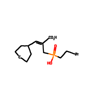 CC(C)CCP(=O)(O)CC(=CC1CCCCC1)C(=O)O